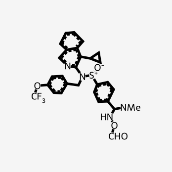 CNC(NOC=O)c1ccc([S+]([O-])N(Cc2ccc(OC(F)(F)F)cc2)c2ncc3ccccc3c2C2CC2)cc1